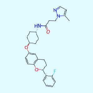 Cc1ccnn1CCC(=O)N[C@H]1CC[C@H](Oc2ccc3c(c2)CCC(c2ccccc2F)O3)CC1